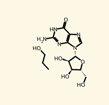 CCCO.Nc1nc2c(ncn2[C@@H]2O[C@H](CO)[C@@H](O)[C@H]2O)c(=O)[nH]1